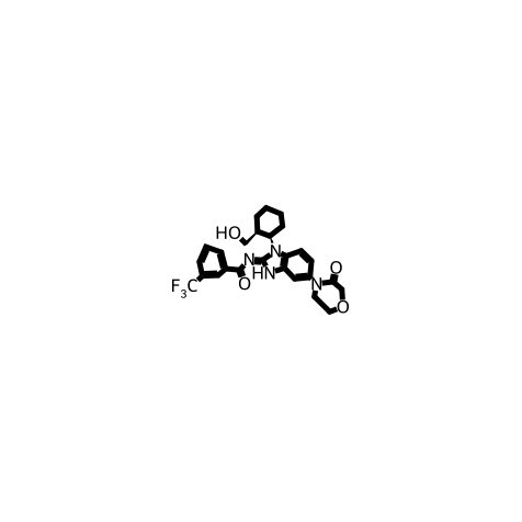 O=C(/N=c1\[nH]c2cc(N3CCOCC3=O)ccc2n1[C@H]1CCCC[C@@H]1CO)c1cccc(C(F)(F)F)c1